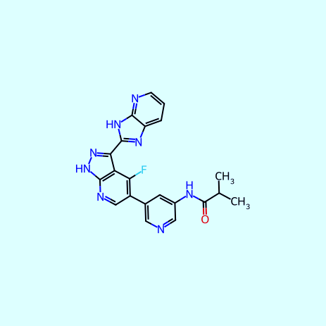 CC(C)C(=O)Nc1cncc(-c2cnc3[nH]nc(-c4nc5cccnc5[nH]4)c3c2F)c1